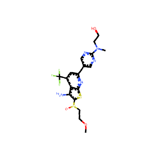 COCC[S+]([O-])c1sc2nc(-c3cnc(N(C)CCO)nc3)cc(C(F)(F)F)c2c1N